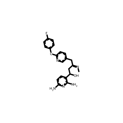 C/N=C(/Cc1ccc(Oc2ccc(F)cc2)nc1)CC(O)c1ccc(N)nc1N